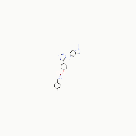 Cc1ccc(CNC(=O)OC2CCc3c(sc4ncnc(Nc5ccc6[nH]ncc6c5)c34)C2)cc1